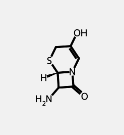 NC1C(=O)N2C=C(O)CS[C@@H]12